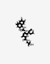 Cc1cc(NC(=O)NC2c3cc(F)c(F)cc3C(C)(C)C[C@H]2O)c(C2CCOCC2)nc1C(=O)NCC(C)(C)O